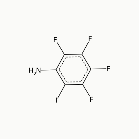 Nc1c(F)c(F)c(F)c(F)c1I